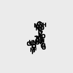 CCc1c(N2CCN(C(=O)c3ncnc4c3NCCC4)CC2)c(=O)n2nc(C3=CCOCC3)nc2n1CC(=O)Nc1ccc(C(F)(F)F)cc1Cl